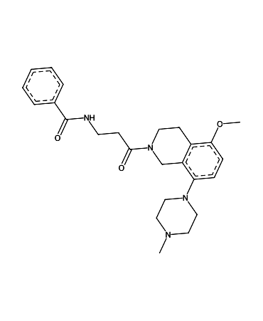 COc1ccc(N2CCN(C)CC2)c2c1CCN(C(=O)CCNC(=O)c1ccccc1)C2